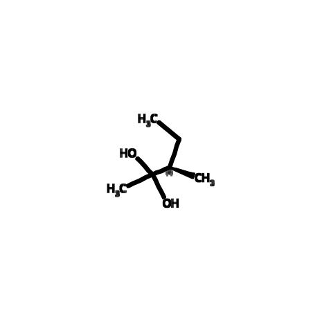 CC[C@@H](C)C(C)(O)O